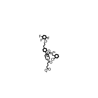 CCN(Cc1ccccc1Cl)C(=O)C1=C(c2ccc(CCCOc3c(F)ccc(F)c3F)cc2)CC2CN(C(=O)CCCC(=O)OC)CC1N2